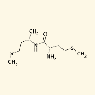 CSCC[C@H](C)NC(=O)[C@@H](N)CCSC